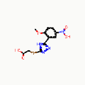 COc1ccc([N+](=O)O)cc1-c1nnc(SCC(=O)O)[nH]1